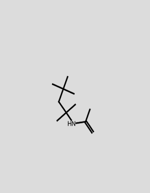 C=C(C)NC(C)(C)CC(C)(C)C